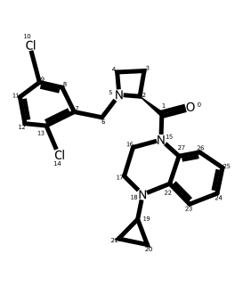 O=C([C@@H]1CCN1Cc1cc(Cl)ccc1Cl)N1CCN(C2CC2)c2ccccc21